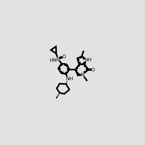 Cc1cc2c(-c3cc(S(=N)(=O)C4CC4)ccc3N[C@H]3CC[C@H](C)CC3)cn(C)c(=O)c2[nH]1